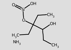 CCC(O)C(CC)(CC)O[Si](=O)O.N